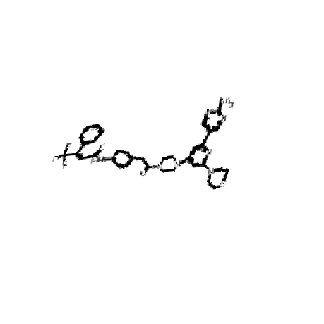 Nc1ncc(-c2cc(N3CCN(C(=O)Cc4ccc(NC(=O)/C=C(\c5ccccc5)C(F)(F)F)cc4)CC3)cc(N3CCOCC3)n2)cn1